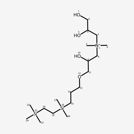 C[N+](C)(CC(O)CO)CC(O)COCCC[Si](C)(C)CC[Si](C)(C)C